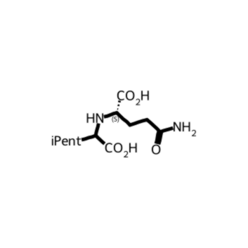 CCCC(C)C(N[C@@H](CCC(N)=O)C(=O)O)C(=O)O